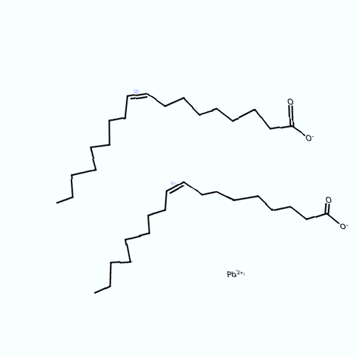 CCCCCCCC/C=C\CCCCCCCC(=O)[O-].CCCCCCCC/C=C\CCCCCCCC(=O)[O-].[Pb+2]